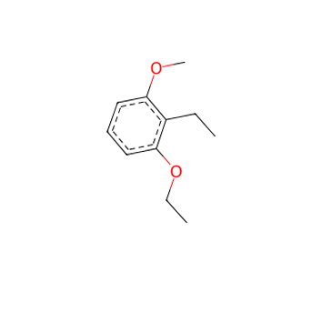 CCOc1cccc(OC)c1CC